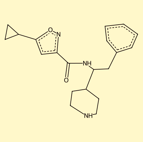 O=C(NC(Cc1ccccc1)C1CCNCC1)c1cc(C2CC2)on1